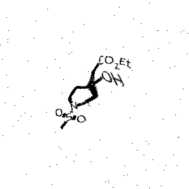 CCOC(=O)CC1(O)C[C]N(S(C)(=O)=O)CC1